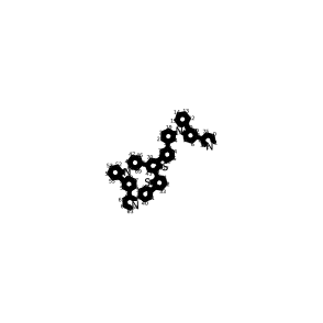 c1cncc(-c2ccc3c(c2)c2ccccc2n3-c2cccc(-c3ccc4sc5c(-c6cccc7c6sc6ccccc67)cc(-c6cccc(-n7c8ccccc8c8cc(-c9cccnc9)ccc87)c6)cc5c4c3)c2)c1